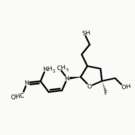 CN(/C=C\C(N)=N/C=O)[C@@H]1O[C@](F)(CO)CC1CCS